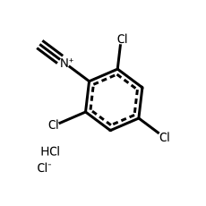 C#[N+]c1c(Cl)cc(Cl)cc1Cl.Cl.[Cl-]